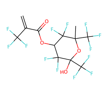 C=C(C(=O)OC1C(F)(F)C(C)(C(F)(F)F)OC(O)(C(F)(F)F)C1(F)F)C(F)(F)F